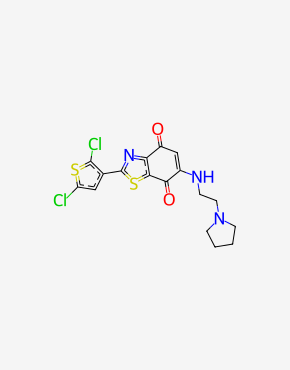 O=C1C=C(NCCN2CCCC2)C(=O)c2sc(-c3cc(Cl)sc3Cl)nc21